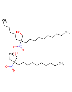 CCCCCCCCCCC(CC)(CO)[N+](=O)[O-].CCCCCCCCCCC(CO)(CCCCCC)[N+](=O)[O-]